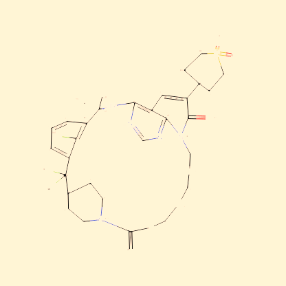 C=C1CCCCCCn2c(=O)c(C3CCS(=O)(=O)CC3)cc3c(ncnc32)N[C@H](C)c2cccc(c2F)C(F)(F)C2CCN1CC2